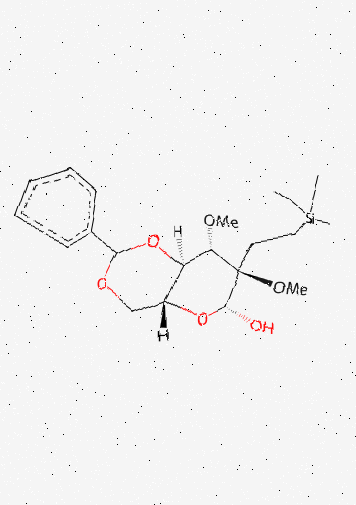 CO[C@H]1[C@@H]2OC(c3ccccc3)OC[C@H]2O[C@@H](O)[C@]1(CC[Si](C)(C)C)OC